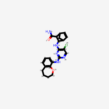 NC(=O)C1C2C=CC(C2)C1Nc1nc(Nc2cccc3c2OCCCC3)ncc1Cl